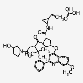 C=CC1CC1NC(=O)[C@@H]1C[C@@H](Oc2cc(-c3ccccc3)nc3cc(OC)ccc23)CN1C(=O)[C@@H](CC(=O)N1CCC(O)C1)C(C)(C)C.O=C(O)O